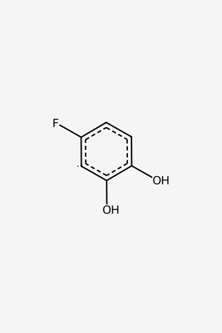 Oc1[c]c(F)ccc1O